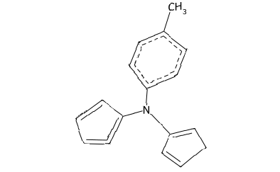 Cc1ccc(N(C2=C=CC=C2)C2=CCC=C2)cc1